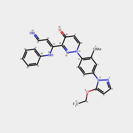 COc1cc(-n2nccc2OCC(F)(F)F)ccc1-n1ccc(=O)c(/C(=C/C=N)Nc2ccccc2)n1